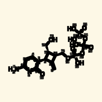 C=C1[C@@H](n2ccc(N)nc2=O)[C@H](CO)[C@H]1COP(=O)(O)OP(=O)(O)OP(=O)(O)O